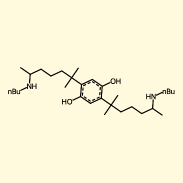 CCCCNC(C)CCCC(C)(C)c1cc(O)c(C(C)(C)CCCC(C)NCCCC)cc1O